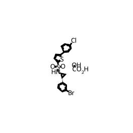 O=C(O)O.O=S(=O)(N[C@H]1C[C@@H]1c1cccc(Br)c1)c1ccc(-c2ccc(Cl)cc2)s1